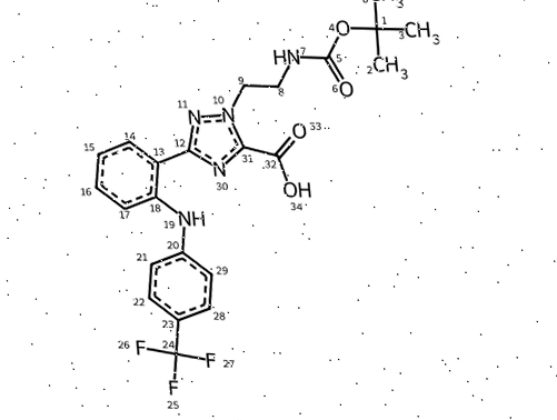 CC(C)(C)OC(=O)NCCn1nc(-c2ccccc2Nc2ccc(C(F)(F)F)cc2)nc1C(=O)O